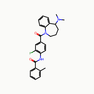 Cc1ccccc1C(=O)Nc1ccc(C(=O)N2CCCC(N(C)C)c3ccccc32)cc1F